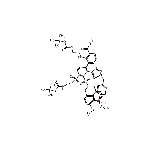 COC(=O)c1cccc(-c2ccc(S(=O)(=O)CCNC(=O)OC(C)(C)C)c(S(=O)(=O)N(Cc3ccc(OC)cc3)Cc3ccc(OC)cc3)c2-c2nnn(Cc3ccc(OC)cc3)n2)c1NCCNC(=O)OC(C)(C)C